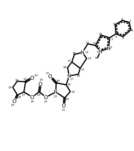 Cn1nc(-c2ccccc2)cc1CN1CC2CN(C3CC(=O)N(OC(=O)OC4C(=O)CCC4=O)C3=O)CC2C1